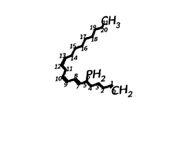 C=CCCCC(P)/C=C/C=C\C/C=C\CCCCCCCC